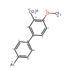 CC(=O)c1ccc(-c2ccc(OC(F)(F)F)c(C(=O)O)c2)cc1